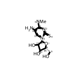 CNc1nc(=S)n([C@@H]2O[C@H](CO)C(O)C2O)cc1N